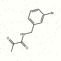 CC(=O)C(=O)NCc1cccc(Br)c1